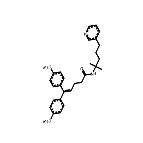 COc1ccc(C(=CCCC(=O)NC(C)(C)CCCc2cccnc2)c2ccc(OC)cc2)cc1